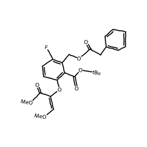 COC=C(Oc1ccc(F)c(COC(=O)Cc2ccccc2)c1C(=O)OC(C)(C)C)C(=O)OC